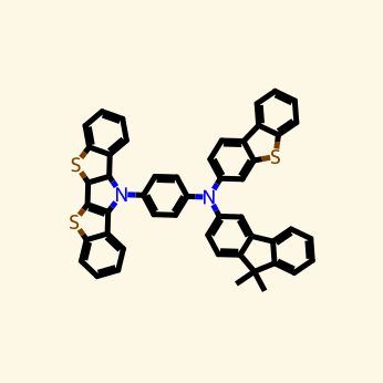 CC1(C)c2ccccc2-c2cc(N(c3ccc(N4c5c(sc6ccccc56)C5Sc6ccccc6C54)cc3)c3ccc4c(c3)sc3ccccc34)ccc21